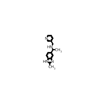 Cc1nc2cc(C(C)NCc3cccnc3)ccc2[nH]1